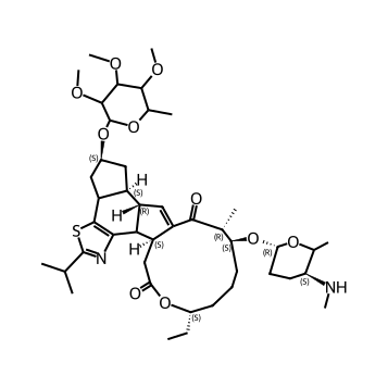 CC[C@H]1CCC[C@H](O[C@H]2CC[C@H](NC)C(C)O2)[C@@H](C)C(=O)C2=C[C@@H]3C(c4nc(C(C)C)sc4C4C[C@@H](OC5OC(C)C(OC)C(OC)C5OC)C[C@H]43)[C@@H]2CC(=O)O1